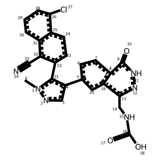 Cn1ncc(-c2ccc3c(=O)[nH]nc(CNC(=O)O)c3c2)c1-c1ccc2c(Cl)cccc2c1C#N